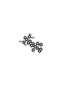 CC(C)(C)c1cc(-c2c3c(c(-c4cc(C(C)(C)C)cc(C(C)(C)C)c4)c4ccccc24)-c2ccc4c5ccc6c7c(-c8cccc9c8oc8ccccc89)c8cc9c(cc8c(-c8ccccc8)c7c7ccc(c8ccc-3c2c84)c5c76)c2cccc3cccc9c32)cc(C(C)(C)C)c1